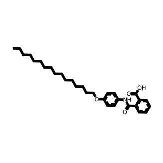 CCCCCCCCCCCCCCCCOc1ccc(NC(=O)c2ccccc2C(=O)O)cc1